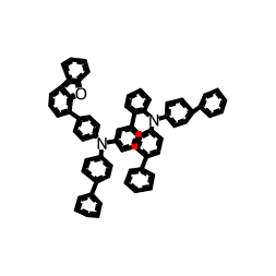 c1ccc(-c2ccc(N(c3ccc(-c4cccc5c4oc4ccccc45)cc3)c3cccc(-c4ccccc4N(c4ccc(-c5ccccc5)cc4)c4ccc(-c5ccccc5)cc4)c3)cc2)cc1